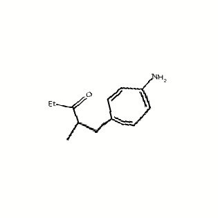 CCC(=O)C(C)Cc1ccc(N)cc1